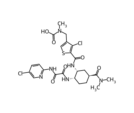 CN(C)C(=O)[C@H]1CC[C@H](NC(=O)C(=O)Nc2ccc(Cl)cn2)[C@H](NC(=O)c2scc(CN(C)C(=O)O)c2Cl)C1